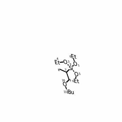 CCO[Si](OCC)(OCC)C(C)COC(C)CC